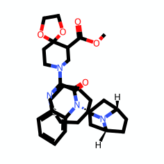 COC(=O)C1CN(c2nc3ccccc3n([C@H]3C[C@H]4CC[C@@H](C3)N4C3CCCCCCC3)c2=O)CCC12OCCO2